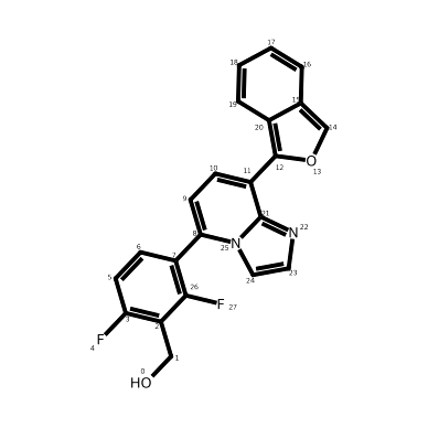 OCc1c(F)ccc(-c2ccc(-c3occ4ccccc34)c3nccn23)c1F